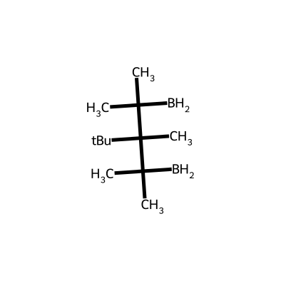 BC(C)(C)C(C)(C(B)(C)C)C(C)(C)C